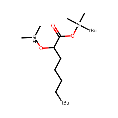 C[SiH](C)OC(CCCCC(C)(C)C)C(=O)O[Si](C)(C)C(C)(C)C